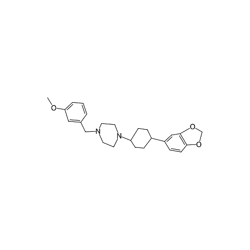 COc1cccc(CN2CCN(C3CCC(c4ccc5c(c4)OCO5)CC3)CC2)c1